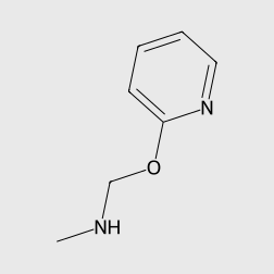 CNCOc1ccccn1